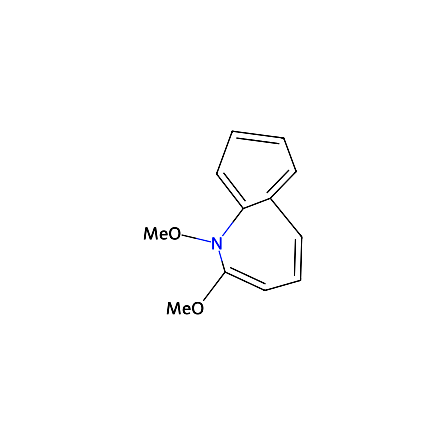 COC1=CC=Cc2ccccc2N1OC